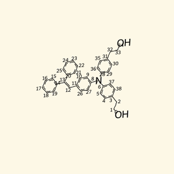 OCCc1ccc(N(c2ccc(C=C(c3ccccc3)c3ccccc3)cc2)c2ccc(CCO)cc2)cc1